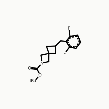 CC(C)(C)OC(=O)N1CC2(CC(Cc3c(F)cccc3F)C2)C1